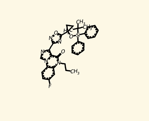 CCCn1c(=O)c2c(-c3noc(C4(O[Si](c5ccccc5)(c5ccccc5)C(C)(C)C)CC4)n3)ncn2c2ccc(F)cc21